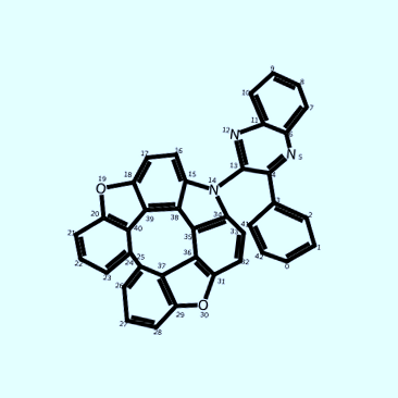 c1ccc(-c2nc3ccccc3nc2-n2c3ccc4oc5cccc6c7cccc8oc9ccc2c(c9c87)c3c4c56)cc1